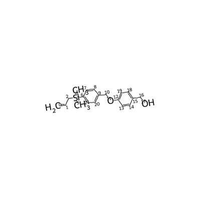 C=CC[Si](C)(C)c1ccc(COc2ccc(CO)cc2)cc1